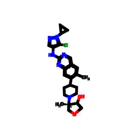 Cc1cc2cnc(Nc3cnn(C4CC4)c3Cl)nc2cc1C1CCN([C@]2(C)COCC2O)CC1